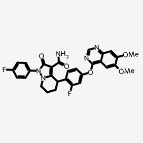 COc1cc2ncnc(Oc3ccc(C4CCCn5c4c(C(N)=O)c(=O)n5-c4ccc(F)cc4)c(F)c3)c2cc1OC